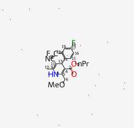 CCCOC(=O)C1=C(COC)NC(C)=C(C#N)C1c1ccc(F)cc1C(F)(F)F